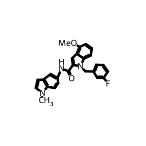 COc1cccc2c1cc(C(=O)Nc1ccc3c(ccn3C)c1)n2Cc1cccc(F)c1